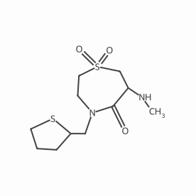 CNC1CS(=O)(=O)CCN(CC2CCCS2)C1=O